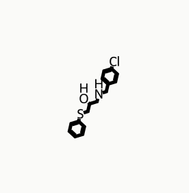 OC(CNCc1ccc(Cl)cc1)CSc1ccccc1